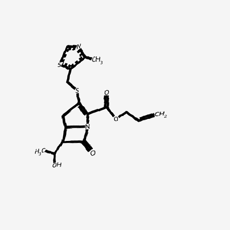 C=CCOC(=O)C1=C(SCc2scnc2C)CC2C(C(C)O)C(=O)N12